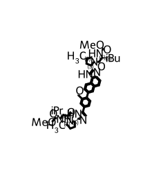 CC[C@H](C)[C@H](NC(=O)OC)C(=O)N1C[C@@H](C)C[C@H]1c1nc2ccc3cc4c(cc3c2[nH]1)OCc1cc(-c2cnc([C@@H]3CC[C@H](C)N3C(=O)[C@@H](NC(=O)OC)C(C)C)[nH]2)ccc1-4